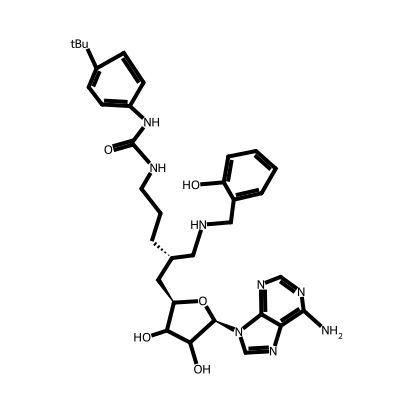 CC(C)(C)c1ccc(NC(=O)NCCC[C@H](CNCc2ccccc2O)C[C@H]2O[C@@H](n3cnc4c(N)ncnc43)C(O)C2O)cc1